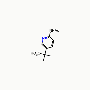 CC(=O)Nc1ccc(C(C)(C)C(=O)O)cn1